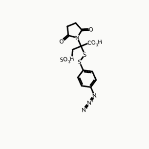 [N-]=[N+]=Nc1ccc(SSC(CS(=O)(=O)O)(C(=O)O)N2C(=O)CCC2=O)cc1